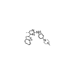 Cc1cnc(Nc2ccc(N3CCN(C)CC3)cc2)nc1-c1cc2ccccc2s1